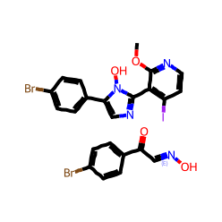 COc1nccc(I)c1-c1ncc(-c2ccc(Br)cc2)n1O.O=C(/C=N/O)c1ccc(Br)cc1